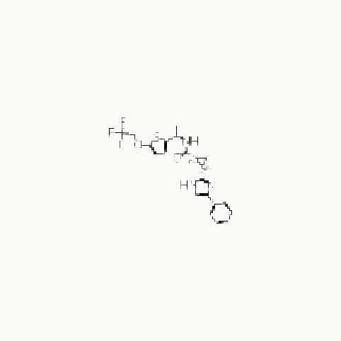 CC(NC(=O)[C@H]1C[C@@H]1c1nc(-c2ccccc2)c[nH]1)c1ccc(OCC(F)(F)F)s1